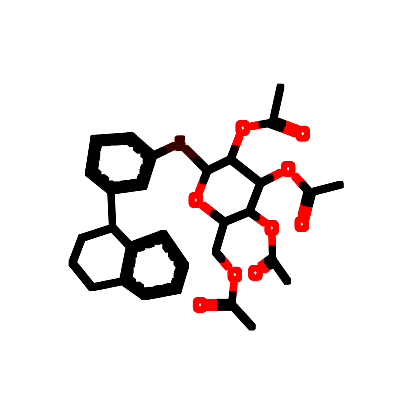 CC(=O)OCC1OC(Sc2cccc(C3CCCc4ccccc43)c2)C(OC(C)=O)C(OC(C)=O)C1OC(C)=O